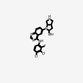 CC(C)(C)C1CC2CNCC2N1c1ccc2ncnc(Nc3ccc(Cl)c(Cl)c3F)c2c1